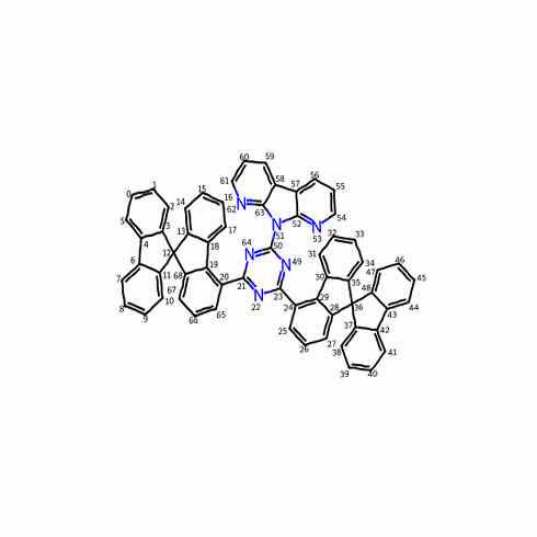 c1ccc2c(c1)-c1ccccc1C21c2ccccc2-c2c(-c3nc(-c4cccc5c4-c4ccccc4C54c5ccccc5-c5ccccc54)nc(-n4c5ncccc5c5cccnc54)n3)cccc21